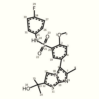 COc1ccc(-c2c(C)nc3sc(C(C)(C)O)cn23)cc1S(=O)(=O)Nc1ccc(F)cc1